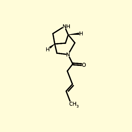 C/C=C/CC(=O)N1C[C@@H]2CN[C@@H](C2)C1